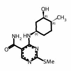 CSc1ncc(C(N)=O)c(N[C@@H]2CC[C@@H](C)[C@H](O)C2)n1